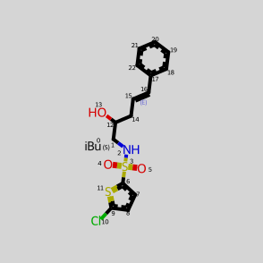 CC[C@H](C)C(NS(=O)(=O)c1ccc(Cl)s1)C(O)C/C=C/c1ccccc1